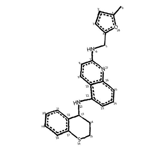 Cc1ccc(CNc2ccc3c(NC4CCSc5ccccc54)cccc3n2)o1